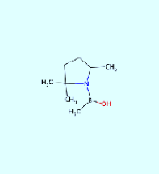 CB(O)N1C(C)CCC1(C)C